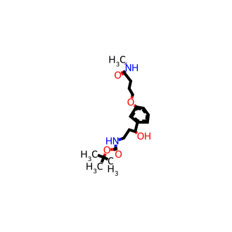 CNC(=O)CCCOc1cccc(C(O)CCNC(=O)OC(C)(C)C)c1